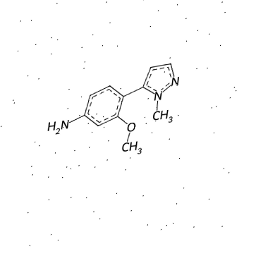 COc1cc(N)ccc1-c1ccnn1C